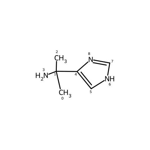 CC(C)(N)c1c[nH]cn1